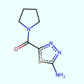 Nc1nnc(C(=O)N2CCCC2)s1